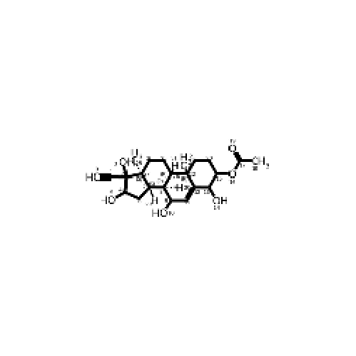 C#CC1(O)C(O)C[C@H]2[C@@H]3C(O)C=C4C(O)C(OC(C)=O)CC[C@]4(C)[C@@H]3CC[C@@]21C